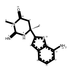 CN1C(=N)N[C@](C)(c2cc3cccc(N)c3s2)CC1=O